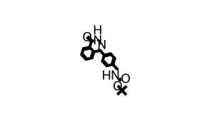 CC(C)(C)OC(=O)NCc1ccc(-c2n[nH]c(=O)c3ccccc23)cc1